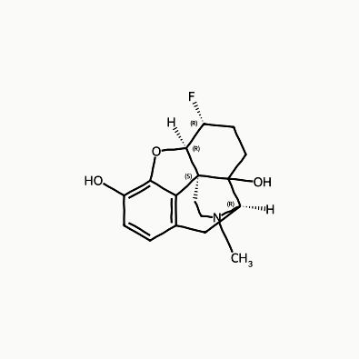 CN1CC[C@]23c4c5ccc(O)c4O[C@H]2[C@H](F)CCC3(O)[C@H]1C5